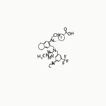 [C-]#[N+]c1cc(CN(Cc2cc3c(cc2N(CC)C[C@H]2CC[C@H](C(=O)O)CC2)CCCC3)c2nnn(C)n2)cc(C(F)(F)F)c1